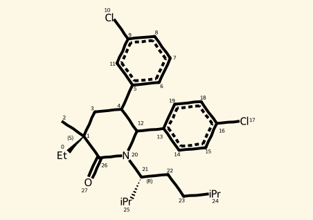 CC[C@@]1(C)CC(c2cccc(Cl)c2)C(c2ccc(Cl)cc2)N([C@H](CCC(C)C)C(C)C)C1=O